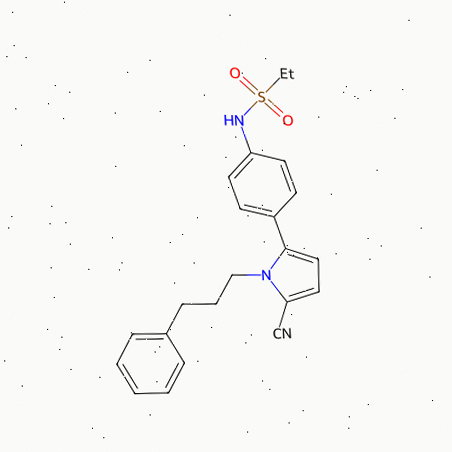 CCS(=O)(=O)Nc1ccc(-c2ccc(C#N)n2CCCc2ccccc2)cc1